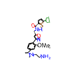 C=C(c1ccc(-c2cc(CNC(=O)c3ccc(Cl)s3)on2)c(OC)c1)N(C)CCN